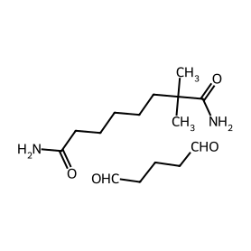 CC(C)(CCCCCC(N)=O)C(N)=O.O=CCCCC=O